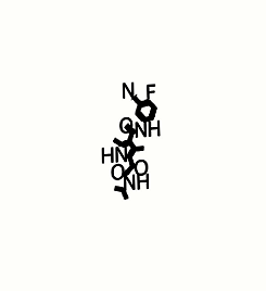 Cc1[nH]c(C(=O)C(=O)NC(C)C)c(C)c1C(=O)Nc1ccc(F)c(C#N)c1